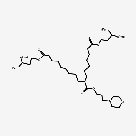 CCCCCC(CCCCC)CCOC(=O)CCCCCCCCC(CCCCCCC(=O)OCCC(CCCCC)CCCCC)C(=O)OCCCN1CCOCC1